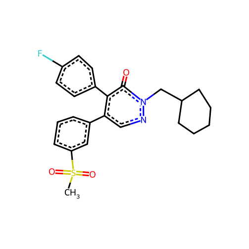 CS(=O)(=O)c1cccc(-c2cnn(CC3CCCCC3)c(=O)c2-c2ccc(F)cc2)c1